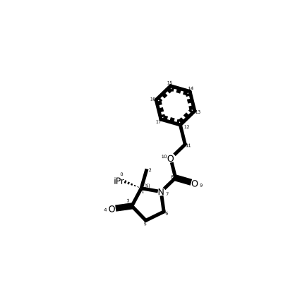 CC(C)[C@@]1(C)C(=O)CCN1C(=O)OCc1ccccc1